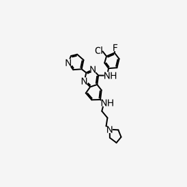 Fc1ccc(Nc2nc(-c3cccnc3)nc3ccc(NCCCN4CCCC4)cc23)cc1Cl